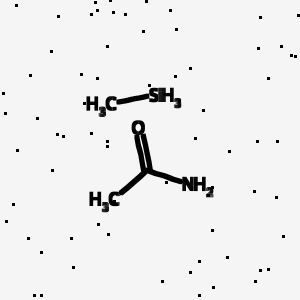 CC(N)=O.C[SiH3]